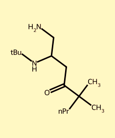 CCCC(C)(C)C(=O)CC(CN)NC(C)(C)C